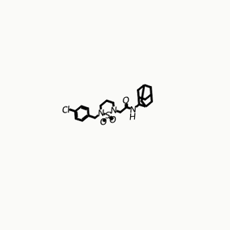 O=C(CN1CCCN(Cc2ccc(Cl)cc2)S1(=O)=O)NC1C2CC3CC(C2)CC1C3